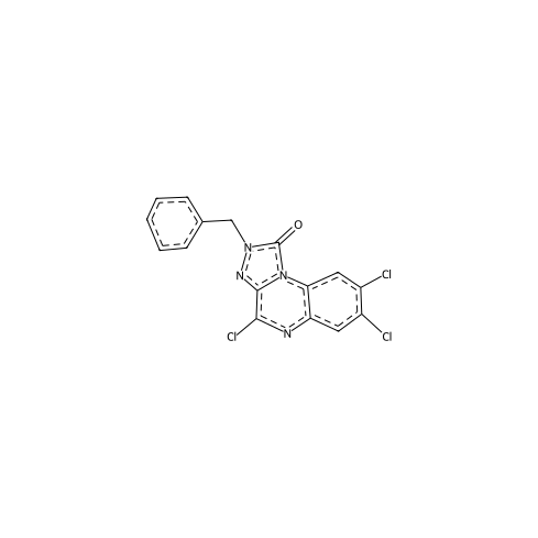 O=c1n(Cc2ccccc2)nc2c(Cl)nc3cc(Cl)c(Cl)cc3n12